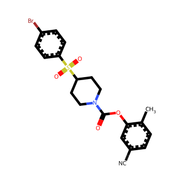 Cc1ccc(C#N)cc1OC(=O)N1CCC(S(=O)(=O)c2ccc(Br)cc2)CC1